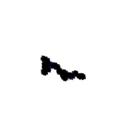 c1cc(-c2ccc3ccccc3c2)cc(-c2cnc3ccc(-c4ccc5c6c(cc7ccccc7c46)-c4ccc(-c6ccc7ccc(-c8nc(-c9ccc%10ccccc%10c9)nc(-c9ccc%10c%11c(cc%12ccccc%12c9%11)-c9ccccc9-%10)n8)cc7c6)cc4-5)cc3c2)c1